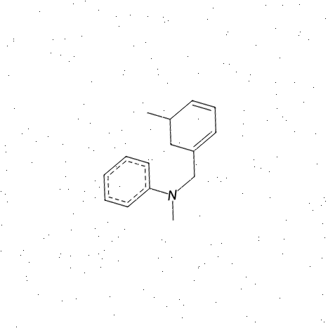 CC1C=CC=C(CN(C)c2ccccc2)C1